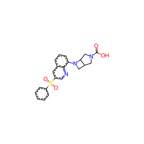 O=C(O)N1CC2CN(c3cccc4cc(S(=O)(=O)c5ccccc5)cnc34)C2C1